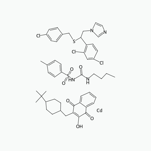 CC(C)(C)C1CCC(CC2=C(O)C(=O)c3ccccc3C2=O)CC1.CCCCNC(=O)NS(=O)(=O)c1ccc(C)cc1.Clc1ccc(CSC(Cn2ccnc2)c2ccc(Cl)cc2Cl)cc1.[Cd]